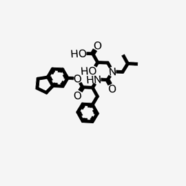 CC(C)CN(CC(O)C(=O)O)C(=O)NC(Cc1ccccc1)C(=O)Oc1ccc2c(c1)CCC2